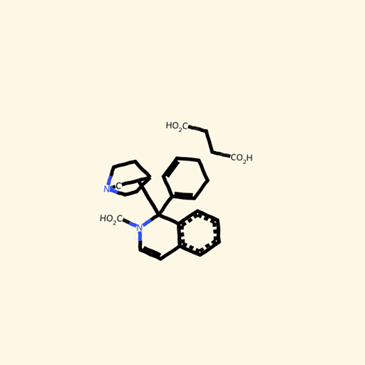 O=C(O)CCC(=O)O.O=C(O)N1C=Cc2ccccc2C1(C1=CCCC=C1)C1CN2CCC1CC2